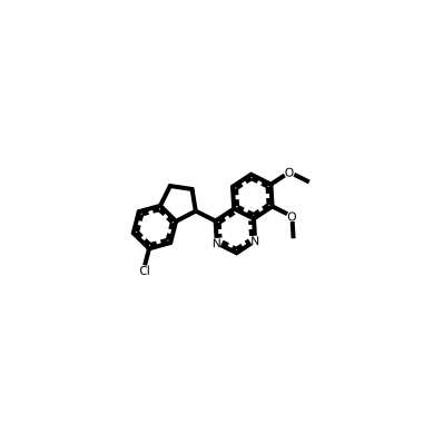 COc1ccc2c(C3CCc4ccc(Cl)cc43)ncnc2c1OC